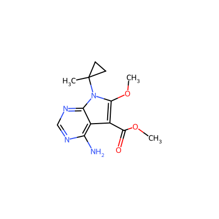 COC(=O)c1c(OC)n(C2(C)CC2)c2ncnc(N)c12